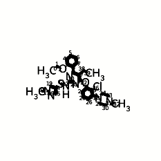 CCOc1ccccc1-c1nc(NSc2cnn(C)c2)nc(Oc2cccc(N3CCN(C)CC3)c2Cl)c1CC